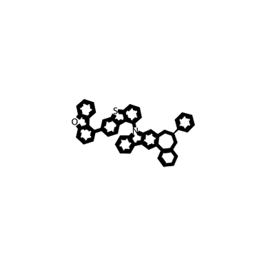 C1=CC2=C(CC1)C[C@H](c1ccccc1)Cc1cc3c(cc12)c1ccccc1n3-c1cccc2sc3cc(-c4cccc5oc6ccccc6c45)ccc3c12